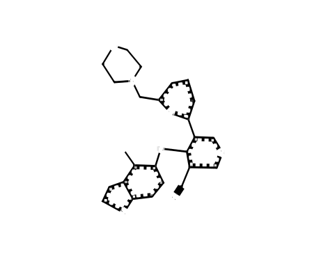 Cc1c(Nc2c(C#N)cncc2-c2cccc(CN3CCOCC3)n2)ccc2[nH]ccc12